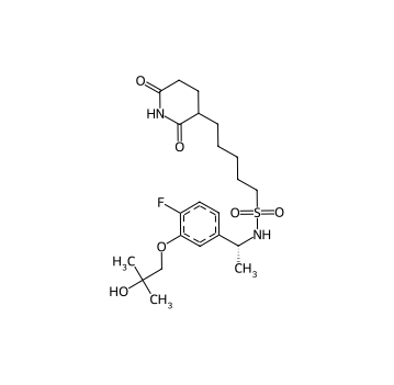 C[C@@H](NS(=O)(=O)CCCCCC1CCC(=O)NC1=O)c1ccc(F)c(OCC(C)(C)O)c1